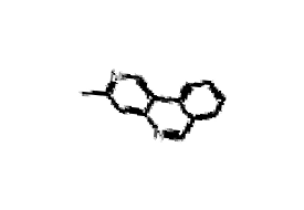 Cc1cc2ncc3ccccc3c2cn1